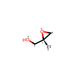 CC[C@]1(CO)CO1